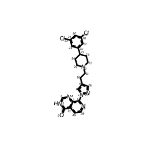 O=c1[nH]cnc2c(-n3cc(CCN4CCC(c5cc(Cl)cc(Cl)c5)CC4)cn3)nccc12